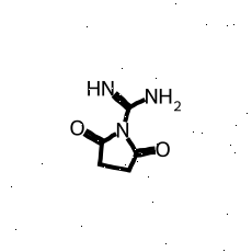 N=C(N)N1C(=O)CCC1=O